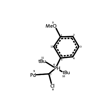 COc1cccc([PH]([CH](Cl)[Pd])(C(C)(C)C)C(C)(C)C)c1